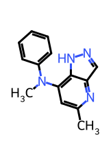 Cc1cc(N(C)c2ccccc2)c2[nH]ncc2n1